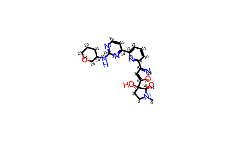 CN1CCC(O)(c2cc(-c3cccc(-c4ccnc(NC5CCCOC5)n4)n3)no2)C1=O